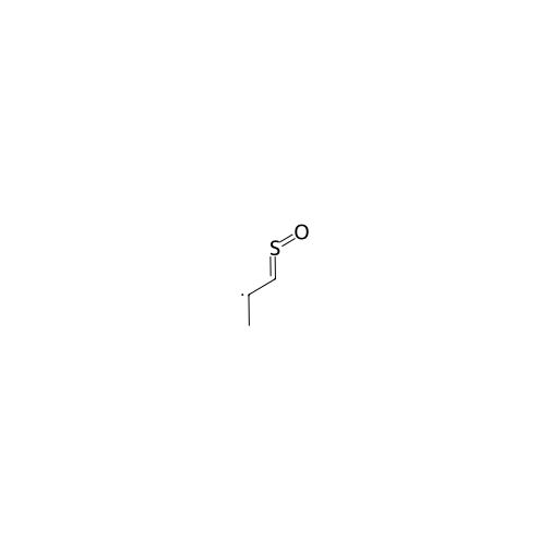 C[CH]C=S=O